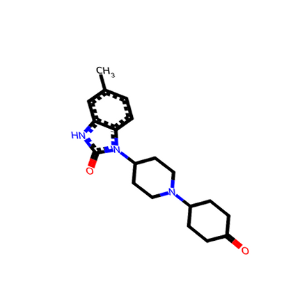 Cc1ccc2c(c1)[nH]c(=O)n2C1CCN(C2CCC(=O)CC2)CC1